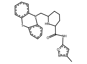 Cc1cc(NC(=O)C2CCCC(CN3c4ccccc4Sc4ccccc43)N2)on1